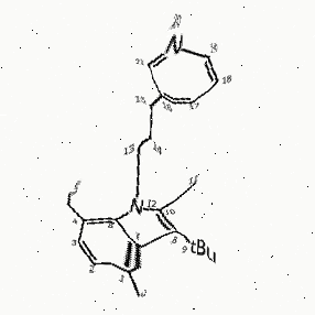 Cc1ccc(C)c2c1c(C(C)(C)C)c(C)n2CCCc1cccnc1